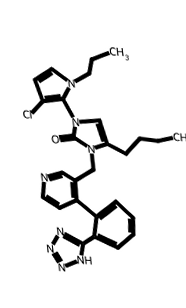 CCCCc1cn(-c2c(Cl)ccn2CCC)c(=O)n1Cc1cnccc1-c1ccccc1-c1nnn[nH]1